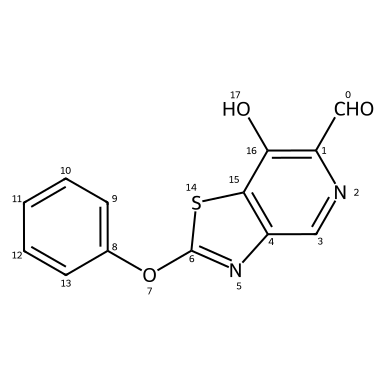 O=Cc1ncc2nc(Oc3ccccc3)sc2c1O